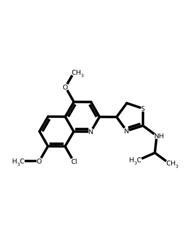 COc1ccc2c(OC)cc(C3CSC(NC(C)C)=N3)nc2c1Cl